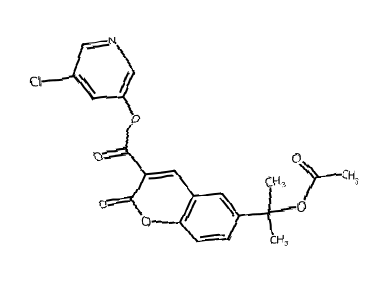 CC(=O)OC(C)(C)c1ccc2oc(=O)c(C(=O)Oc3cncc(Cl)c3)cc2c1